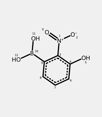 O=[N+]([O-])c1c(O)cccc1B(O)O